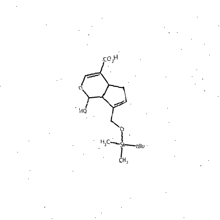 CC(C)(C)[Si](C)(C)OCC1=CCC2C(C(=O)O)=COC(O)C12